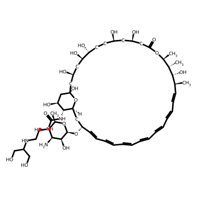 C[C@@H]1[C@H](O)[C@@H](C)/C=C/C=C/C=C/C=C/C=C/C=C/C=C/[C@H](O[C@@H]2O[C@H](C)[C@@H](O)[C@H](N)[C@@H]2O)C[C@@H]2O[C@](O)(C[C@@H](O)C[C@@H](O)[C@H](O)CC[C@@H](O)C[C@@H](O)CC(=O)O[C@H]1C)C[C@H](O)[C@H]2NC(=O)NCCNC(CO)CO